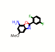 COc1cc(N)c2oc(-c3cc(F)ccc3F)nc2c1